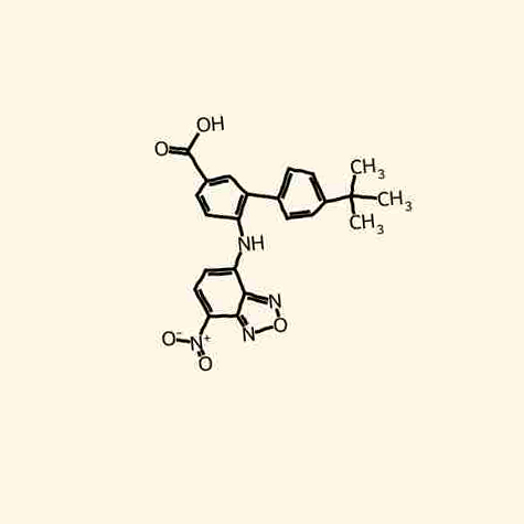 CC(C)(C)c1ccc(-c2cc(C(=O)O)ccc2Nc2ccc([N+](=O)[O-])c3nonc23)cc1